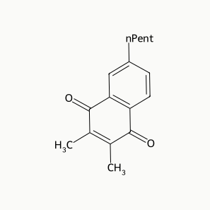 CCCCCc1ccc2c(c1)C(=O)C(C)=C(C)C2=O